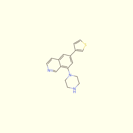 c1cc2cc(-c3ccsc3)cc(N3CCNCC3)c2cn1